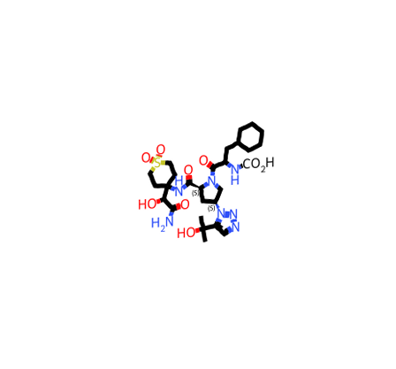 CC(C)(O)c1cnnn1[C@H]1C[C@@H](C(=O)NC2(C(O)C(N)=O)CCS(=O)(=O)CC2)N(C(=O)C(CC2CCCCC2)NC(=O)O)C1